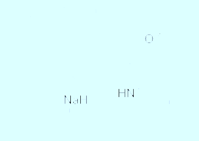 CCNC(=O)c1ccccc1.[NaH]